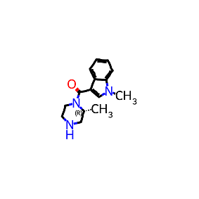 C[C@@H]1CNCCN1C(=O)c1cn(C)c2ccccc12